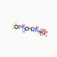 CC(C)(O)[C@@H](F)CNC(=O)N1CC=C(c2ccc(NC(=O)N3Cc4cc(F)c(F)c(F)c4C3)cc2)CC1